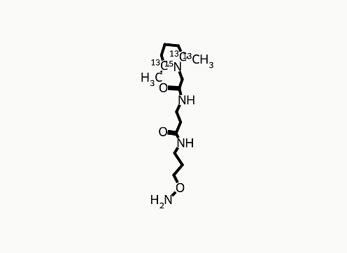 C[13C@@H]1CCC[13C@H]([13CH3])[15N]1CC(=O)NCCC(=O)NCCCON